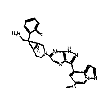 COc1cc(-c2n[nH]c3nc(N4CC[C@@H]5[C@H](C4)[C@@]5(CN)c4ccccc4F)cnc23)c2ccnn2c1